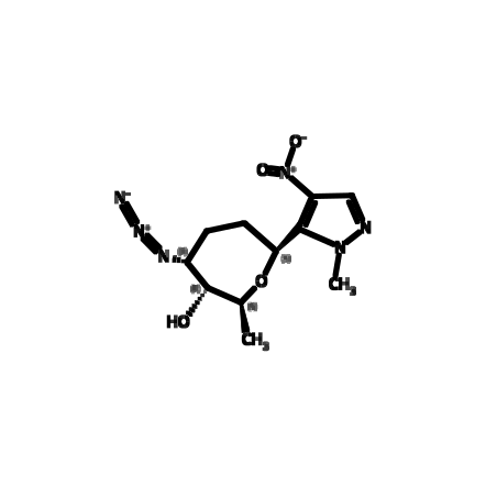 C[C@@H]1O[C@H](c2c([N+](=O)[O-])cnn2C)CC[C@@H](N=[N+]=[N-])[C@H]1O